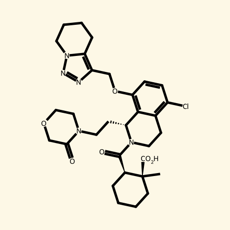 C[C@]1(C(=O)O)CCCC[C@H]1C(=O)N1CCc2c(Cl)ccc(OCc3nnn4c3CCCC4)c2[C@H]1CCN1CCOCC1=O